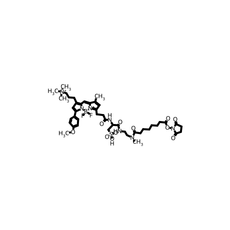 COc1ccc(-c2cc(CCC[N+](C)(C)C)c3n2[B-](F)(F)[N+]2=C(CCC(=O)NC(CS(=O)(=O)O)C(=O)NCCN(C)C(=O)CCCCCCC(=O)ON4C(=O)CCC4=O)C=C(C)C2=C3)cc1